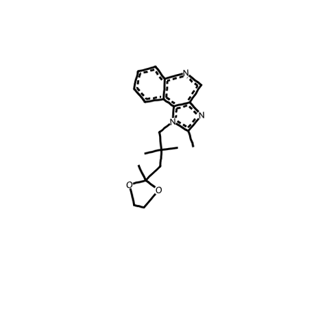 Cc1nc2cnc3ccccc3c2n1CC(C)(C)CC1(C)OCCO1